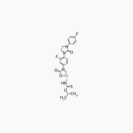 CC(C)OC(=S)NC[C@H]1CN(c2ccc(N3CCN(c4ccc(F)cc4)C3=O)c(F)c2)C(=O)O1